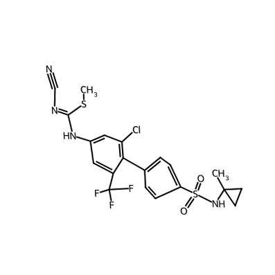 CS/C(=N\C#N)Nc1cc(Cl)c(-c2ccc(S(=O)(=O)NC3(C)CC3)cc2)c(C(F)(F)F)c1